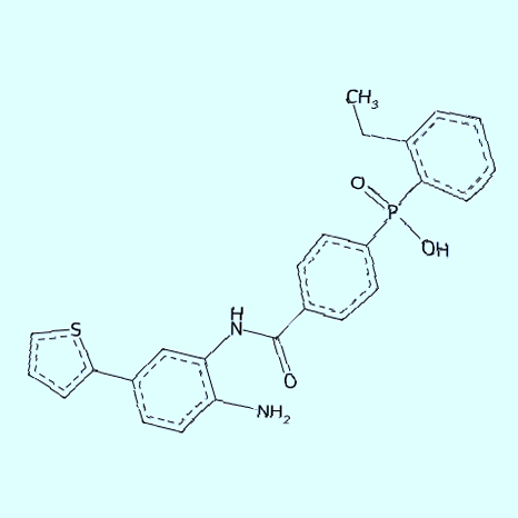 CCc1ccccc1P(=O)(O)c1ccc(C(=O)Nc2cc(-c3cccs3)ccc2N)cc1